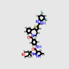 Cc1cnc(N2CC3(CCOCC3)C2)c(C(=O)Nc2ccc(C(=O)N3CCc4cc(-c5nc6cc(F)cc(F)c6[nH]5)sc4-c4ccccc43)cc2)c1